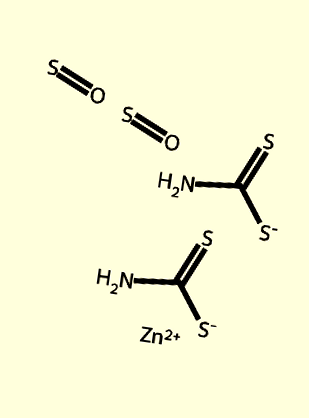 NC(=S)[S-].NC(=S)[S-].O=S.O=S.[Zn+2]